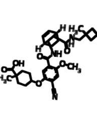 COc1cc(C#N)c(OC2CCC(C)(C(=O)O)CC2)cc1C(=O)NC1C(C(=O)NCC2(C)CCC2)[C@@H]2C=C[C@H]1CC2